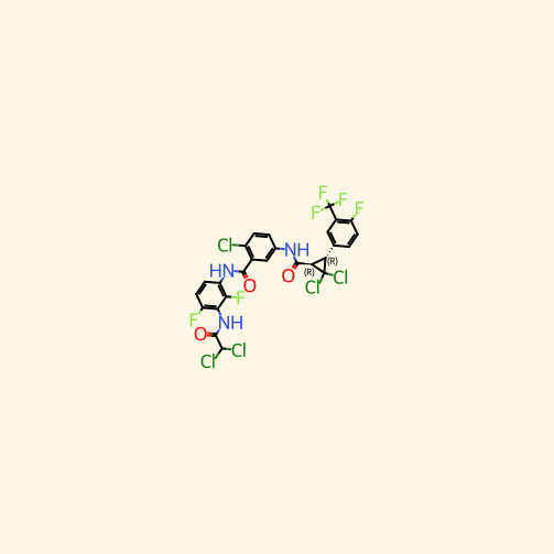 O=C(Nc1ccc(F)c(NC(=O)C(Cl)Cl)c1F)c1cc(NC(=O)[C@H]2[C@H](c3ccc(F)c(C(F)(F)F)c3)C2(Cl)Cl)ccc1Cl